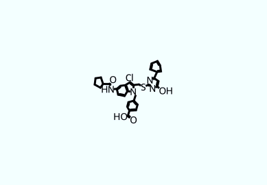 O=C(O)c1ccc(Cn2c(CSc3nc(O)cc(-c4ccccc4)n3)c(Cl)c3cc(NC(=O)C4CCCC4)ccc32)cc1